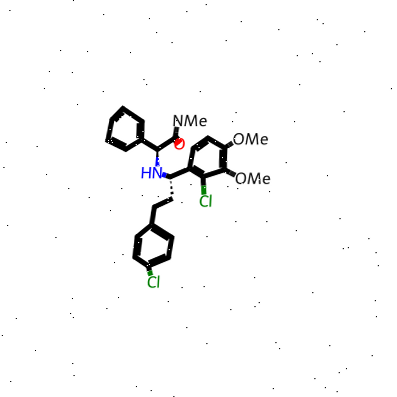 CNC(=O)[C@@H](N[C@@H](CCc1ccc(Cl)cc1)c1ccc(OC)c(OC)c1Cl)c1ccccc1